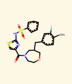 COc1ccc(CC2COCCN(C(=O)c3csc(NS(=O)(=O)c4ccccc4)n3)C2)cc1F